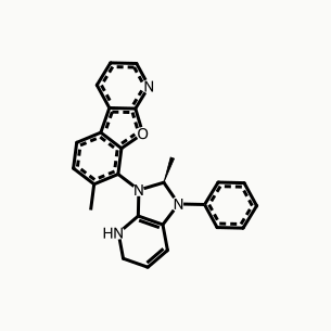 Cc1ccc2c(oc3ncccc32)c1N1C2=C(C=CCN2)N(c2ccccc2)[C@@H]1C